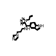 C=CCn1nnnc1C(NCCCn1ccnc1)c1ccc2[nH]ccc2c1